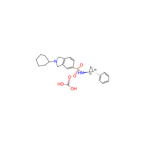 O=C(O)O.O=S(=O)(N[C@H]1C[C@@H]1c1ccccc1)c1ccc2c(c1)CN(C1CCCCC1)C2